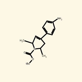 CC1C=C(c2ccc(N)cc2)CC(C)N1C(=O)OC(C)(C)C